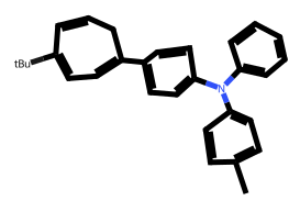 Cc1ccc(N(c2ccccc2)c2ccc(C3=CC=C(C(C)(C)C)C=CC3)cc2)cc1